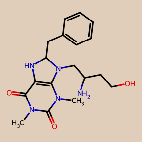 Cn1c2c(c(=O)n(C)c1=O)NC(Cc1ccccc1)N2CC(N)CCO